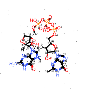 COC1[C@@H](COP(=O)(O)OP(=O)(O)OP(=O)(O)OC[C@@]23CO[C@@H](C2O)[C@H](n2c[n+](C)c4c(=O)[nH]c(N)nc42)O3)O[C@@H](n2cnc3c(=O)[nH]c(C)nc32)[C@H]1O